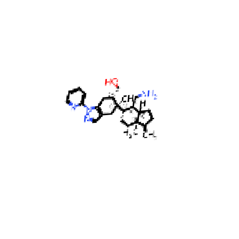 C=C1CC[C@H]2[C@H](CN)[C@@H]([C@@]3(C)Cc4cnn(-c5ccccn5)c4C[C@@H]3CO)CC[C@]12C